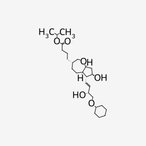 CC(C)OC(=O)CCC[C@H]1CC[C@@H]2[C@@H](C=C[C@@H](O)COC3CCCCC3)[C@H](O)C[C@@H]2OC1